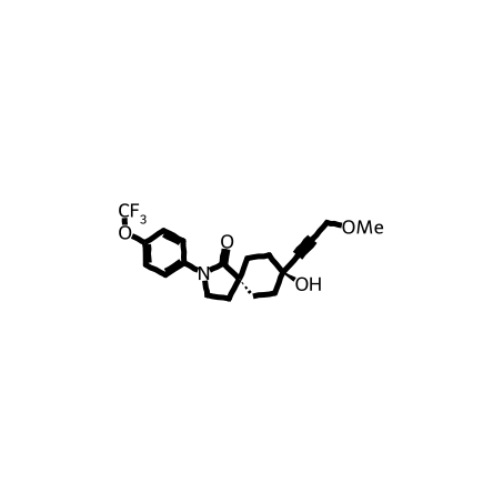 COCC#C[C@]1(O)CC[C@@]2(CCN(c3ccc(OC(F)(F)F)cc3)C2=O)CC1